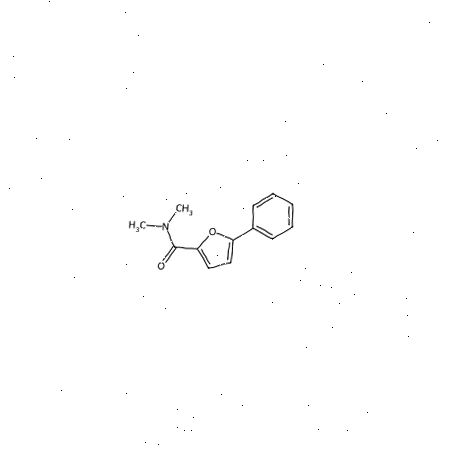 CN(C)C(=O)c1ccc(-c2ccccc2)o1